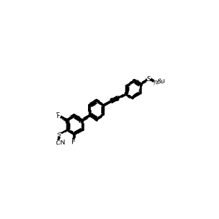 CCCCSc1ccc(C#Cc2ccc(-c3cc(F)c(SC#N)c(F)c3)cc2)cc1